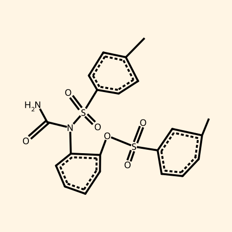 Cc1ccc(S(=O)(=O)N(C(N)=O)c2ccccc2OS(=O)(=O)c2cccc(C)c2)cc1